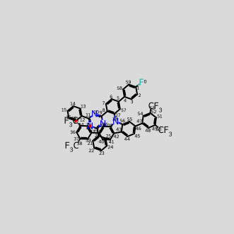 Fc1ccc(-c2ccc(-c3nc(-c4ccccc4)nc(-c4ccccc4)n3)c(-n3c4cc(-c5cc(C(F)(F)F)cc(C(F)(F)F)c5)ccc4c4ccc(-c5cc(C(F)(F)F)cc(C(F)(F)F)c5)cc43)c2)cc1